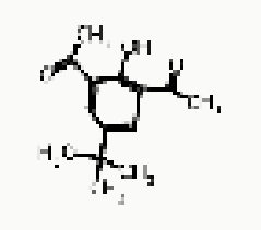 CC(=O)c1cc(C(C)(C)C)cc(C(C)=O)c1O